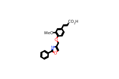 COc1cc(C=CC(=O)O)ccc1OCc1coc(-c2ccccc2)n1